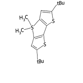 CC(C)(C)c1cc2c(s1)-c1sc(C(C)(C)C)cc1S2(C)C